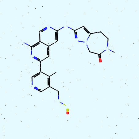 Cc1c(CN[SH]=O)cncc1-c1cc2cc(Nc3cc4n(n3)CC(=O)N(C)CC4)ncc2c(N)n1